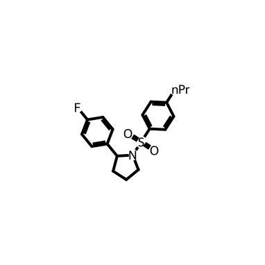 CCCc1ccc(S(=O)(=O)N2CCCC2c2ccc(F)cc2)cc1